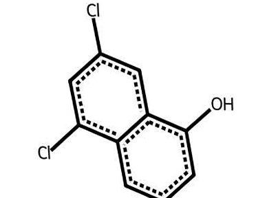 Oc1cccc2c(Cl)cc(Cl)cc12